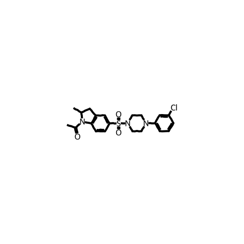 CC(=O)N1c2ccc(S(=O)(=O)N3CCN(c4cccc(Cl)c4)CC3)cc2CC1C